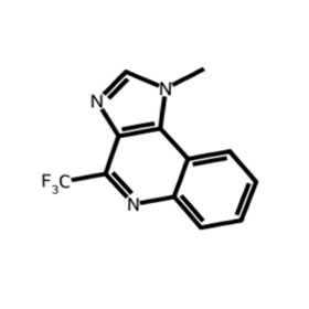 Cn1cnc2c(C(F)(F)F)nc3ccccc3c21